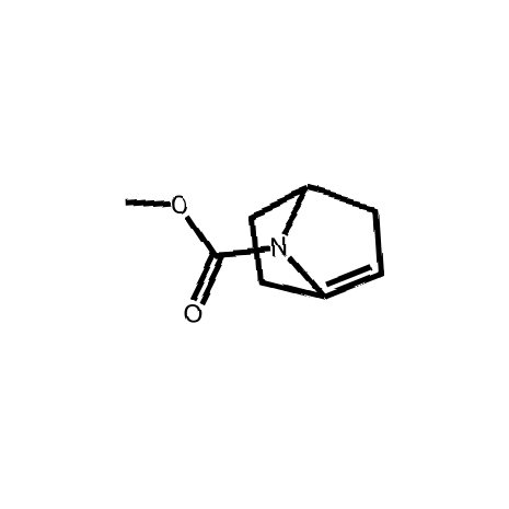 COC(=O)N1C2=CCC1CC2